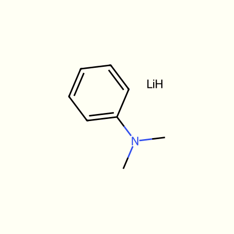 CN(C)c1ccccc1.[LiH]